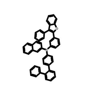 c1ccc(-c2ccccc2-c2ccc(N(c3cccc(-c4oc5ccccc5c4-c4ccccc4)c3)c3ccc4ccccc4c3)cc2)cc1